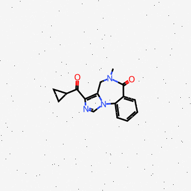 CN1Cc2c(C(=O)C3CC3)ncn2-c2ccccc2C1=O